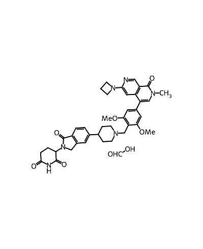 COc1cc(-c2cn(C)c(=O)c3cnc(N4CCC4)cc23)cc(OC)c1CN1CCC(c2ccc3c(c2)CN(C2CCC(=O)NC2=O)C3=O)CC1.O=CO